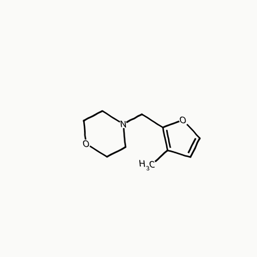 Cc1ccoc1CN1CCOCC1